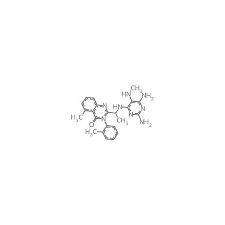 CNc1c(N)nc(N)nc1NC(C)c1nc2cccc(C)c2c(=O)n1-c1ccccc1C